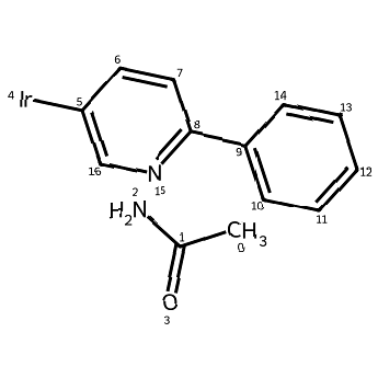 CC(N)=O.[Ir][c]1ccc(-c2ccccc2)nc1